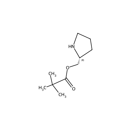 CC(C)(C)C(=O)OC[C@H]1CCCN1